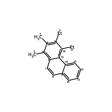 CCc1c(C)c(C)c2ccc3ccccc3c2c1CC